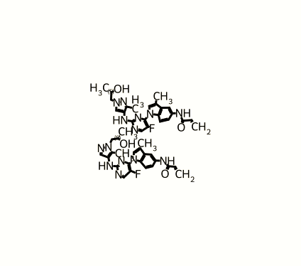 C=CC(=O)Nc1ccc2c(c1)c(C)cn2-c1nc(Nc2cn(C[C@H](C)O)nc2C)ncc1F.C=CC(=O)Nc1ccc2c(c1)c(C)cn2-c1nc(Nc2cnn(C[C@H](C)O)c2C)ncc1F